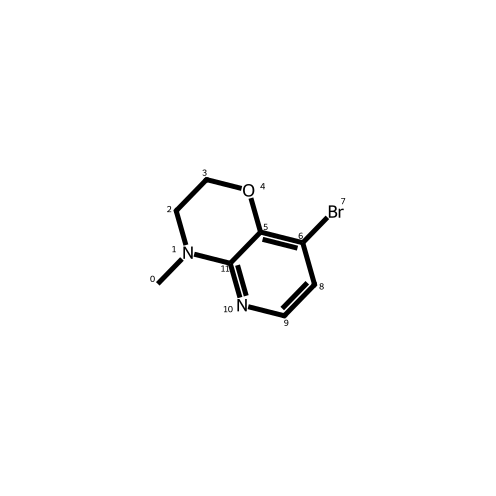 CN1CCOc2c(Br)ccnc21